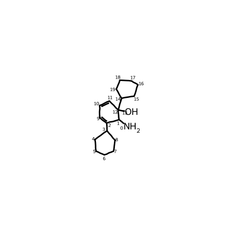 NC1C(C2CCCCC2)=CC=CC1(O)C1CCCCC1